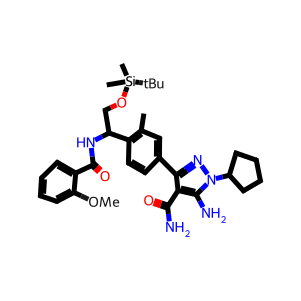 COc1ccccc1C(=O)NC(CO[Si](C)(C)C(C)(C)C)c1ccc(-c2nn(C3CCCC3)c(N)c2C(N)=O)cc1C